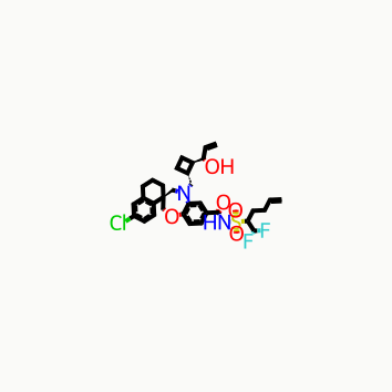 C=CCCC(C(F)F)S(=O)(=O)NC(=O)c1ccc2c(c1)N(C[C@@H]1CC[C@H]1C(O)C=C)C[C@@]1(CCCc3cc(Cl)ccc31)CO2